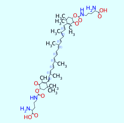 CC1=C(/C=C/C(C)=C/C=C/C(C)=C/C=C/C=C(C)/C=C/C=C(C)/C=C/C2=C(C)C(=O)C(OC(=O)NCCCC(N)C(=O)O)CC2(C)C)C(C)(C)CC(OC(=O)NCCCC(N)C(=O)O)C1=O